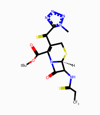 Cn1nnnc1C(=S)C1=C(C(=O)OC(C)(C)C)N2C(=O)C(NC(=S)CC(F)(F)F)[C@@H]2SC1